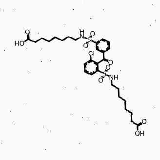 O=C(O)CCCCCCCNS(=O)(=O)c1cccc(C(=O)c2c(Cl)cccc2S(=O)(=O)NCCCCCCCC(=O)O)c1